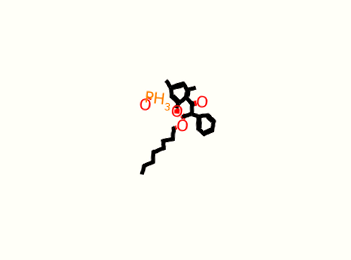 CCCCCCCCOC(=O)C(C(=O)c1c(C)cc(C)cc1C)c1ccccc1.O=[PH3]